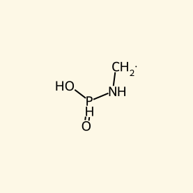 [CH2]N[PH](=O)O